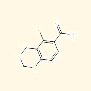 O=C(O)c1ccc2c(c1F)COCO2